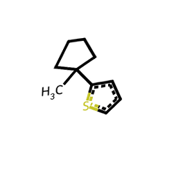 CC1(c2cccs2)CCCC1